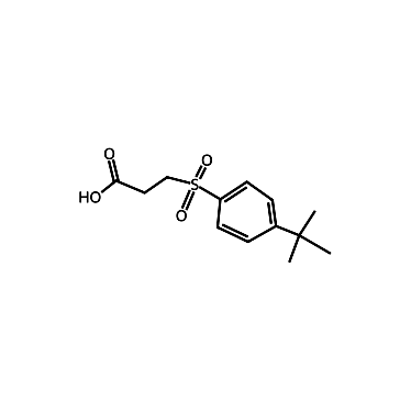 CC(C)(C)c1ccc(S(=O)(=O)CCC(=O)O)cc1